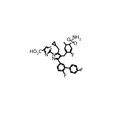 CC1C=C(Cc2c(-c3ccc(F)c(-c4ccc(F)cc4)c3)nn(-c3nc(C(=O)O)cs3)c2CC2CC2)C(F)=CC1S(N)(=O)=O